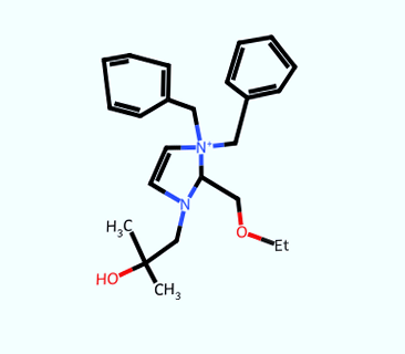 CCOCC1N(CC(C)(C)O)C=C[N+]1(Cc1ccccc1)Cc1ccccc1